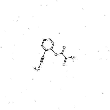 CC#Cc1ccccc1OC(=O)C(=O)O